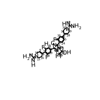 Cn1c(-c2cc(F)c(C3=CCN(C(=N)N)CC3)c(F)c2)nnc1-c1ccc(C2=CCN(C(=N)N)CC2)cc1F.O=C(O)C(F)(F)F